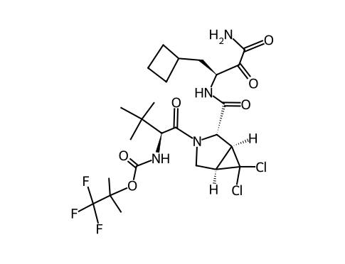 CC(C)(C)[C@H](NC(=O)OC(C)(C)C(F)(F)F)C(=O)N1C[C@H]2[C@@H]([C@H]1C(=O)N[C@@H](CC1CCC1)C(=O)C(N)=O)C2(Cl)Cl